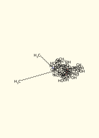 CCCCCCCCCCCCC/C=C/[C@@H](O)[C@H](CO[C@@H]1OC(CO)[C@@H](O[C@@H]2OC(CO)[C@H](O)[C@H](O[C@@H]3OC(CO)[C@@H](O)[C@H](O[C@@H]4OC(CO[C@@H]5OC(CO)[C@@H](O)[C@H](O)C5NC(C)=O)[C@H](O)[C@H](O[C@@H]5OC(CO)[C@@H](O)[C@H](O[C@@H]6OC(CO)[C@H](O)[C@H](O[C@H]7OC(CO)[C@H](O)[C@H](O)C7NC(C)=O)C6O)C5NC(C)=O)C4O)C3NC(C)=O)C2O)[C@H](O)C1O)NC(=O)CCCCCCCCCCCCCCCCCCCCCCCCC